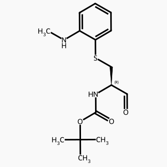 CNc1ccccc1SC[C@@H](C=O)NC(=O)OC(C)(C)C